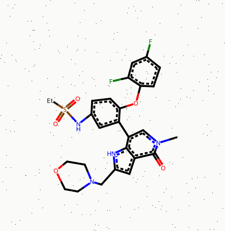 CCS(=O)(=O)Nc1ccc(Oc2ccc(F)cc2F)c(-c2cn(C)c(=O)c3cc(CN4CCOCC4)[nH]c23)c1